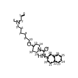 C=CCN(C)CCCCCCOC1CCN(C(=O)Nc2ccc3ccccc3c2)CC1